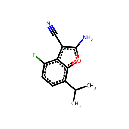 CC(C)c1ccc(F)c2c(C#N)c(N)oc12